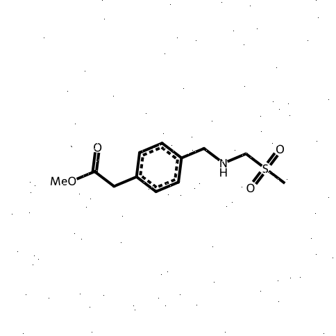 COC(=O)Cc1ccc(CNCS(C)(=O)=O)cc1